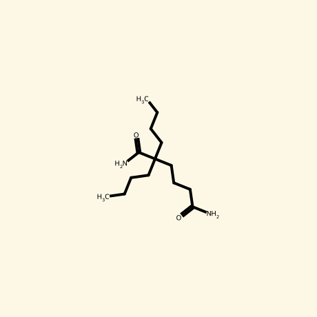 CCCCC(CCCC)(CCCC(N)=O)C(N)=O